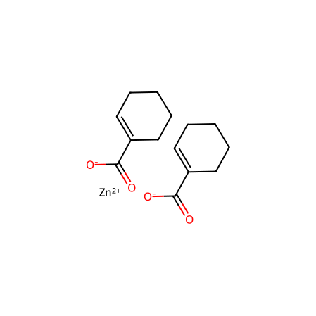 O=C([O-])C1=CCCCC1.O=C([O-])C1=CCCCC1.[Zn+2]